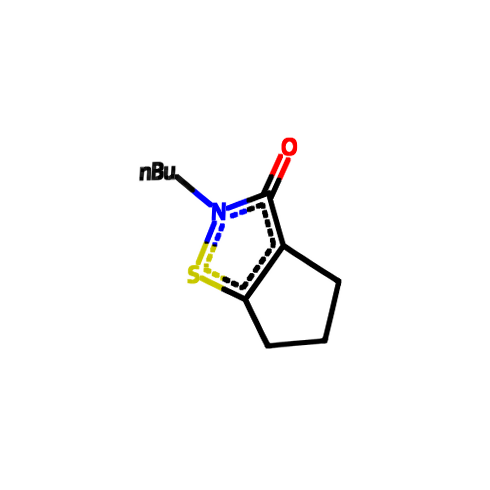 CCCCn1sc2c(c1=O)CCC2